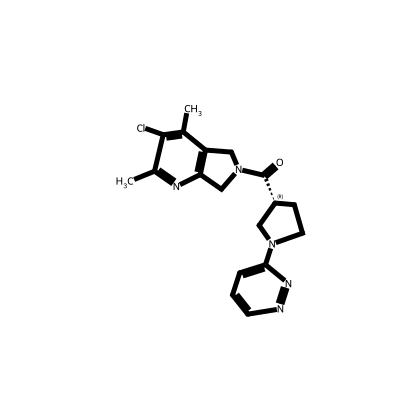 Cc1nc2c(c(C)c1Cl)CN(C(=O)[C@@H]1CCN(c3cccnn3)C1)C2